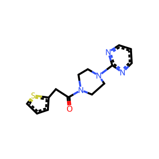 O=C(Cc1cccs1)N1CCN(c2ncccn2)CC1